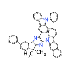 CC1(C)c2ccc(-c3ccccc3)cc2-c2nc(-c3ccc4c(c3)c3ccccc3n4-c3ccccc3)c(-n3c4ccccc4c4cc5ccccc5cc43)nc21